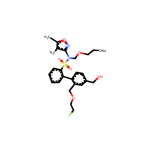 COCCOCN(c1noc(C)c1C)S(=O)(=O)c1ccccc1-c1ccc(CO)cc1COCCF